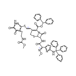 CO/N=C(/C(=O)NC1C(=O)N2C(C(=O)OC(c3ccccc3)c3ccccc3)=C(/C=C/Sc3n[nH]c(=O)c(=O)n3CCNC(=O)OC)CSC12)c1csc(NC(c2ccccc2)(c2ccccc2)c2ccccc2)n1